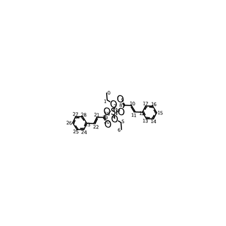 CCO[Si](OCC)(OC(=O)C=Cc1ccccc1)OC(=O)C=Cc1ccccc1